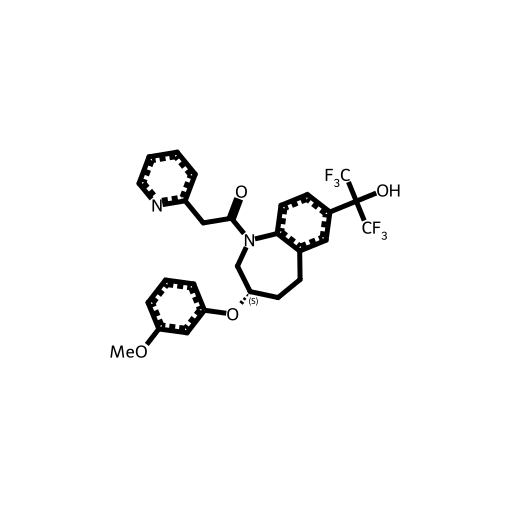 COc1cccc(O[C@H]2CCc3cc(C(O)(C(F)(F)F)C(F)(F)F)ccc3N(C(=O)Cc3ccccn3)C2)c1